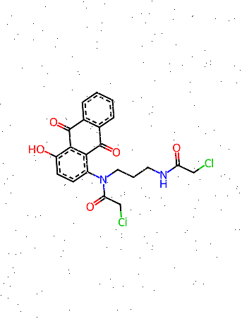 O=C(CCl)NCCCN(C(=O)CCl)c1ccc(O)c2c1C(=O)c1ccccc1C2=O